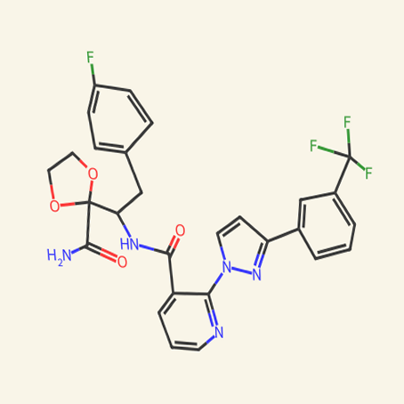 NC(=O)C1(C(Cc2ccc(F)cc2)NC(=O)c2cccnc2-n2ccc(-c3cccc(C(F)(F)F)c3)n2)OCCO1